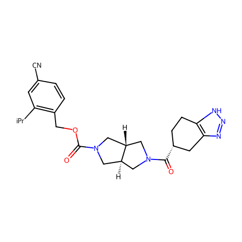 CC(C)c1cc(C#N)ccc1COC(=O)N1C[C@@H]2CN(C(=O)[C@@H]3CCc4[nH]nnc4C3)C[C@H]2C1